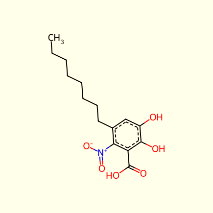 CCCCCCCCc1cc(O)c(O)c(C(=O)O)c1[N+](=O)[O-]